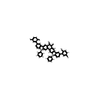 CC1=CCC(C)C(c2ccc3c(c2)c2cc4c(cc2n3-c2ccccc2)-c2cc3c(cc2C(C)C4C)c2cc(-c4cc(C)ccc4C)ccc2n3-c2ccccc2)=C1